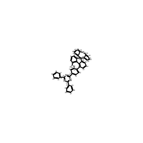 N#Cc1cccc2c1-c1c(-c3ccc(-c4nc(-c5ccccc5)nc(-c5ccccc5)n4)cc3)cccc1C21c2ccccc2Sc2ccccc21